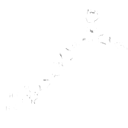 CCC(C)n1ncn(-c2ccc(N3CCN(c4ccc(OC[C@@H]5CO[C@@](Cc6ccnnc6)(c6ccc(C)cc6)O5)cc4)CC3)cc2)c1=O